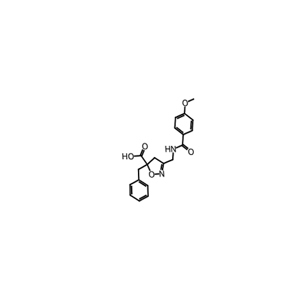 COc1ccc(C(=O)NCC2=NOC(Cc3ccccc3)(C(=O)O)C2)cc1